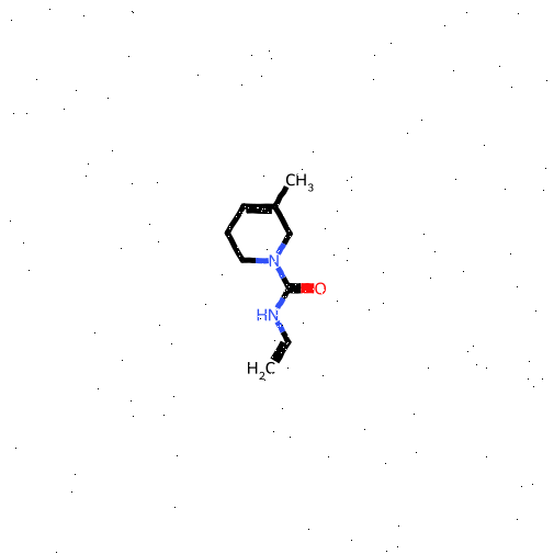 C=CNC(=O)N1CCC=C(C)C1